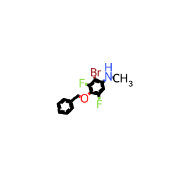 CNc1cc(F)c(OCc2ccccc2)c(F)c1Br